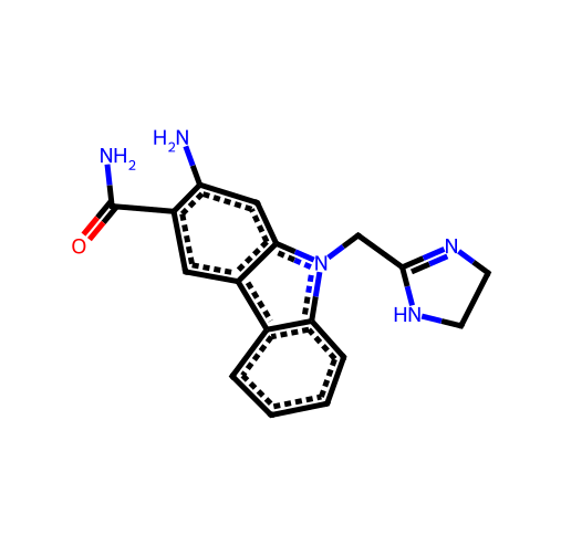 NC(=O)c1cc2c3ccccc3n(CC3=NCCN3)c2cc1N